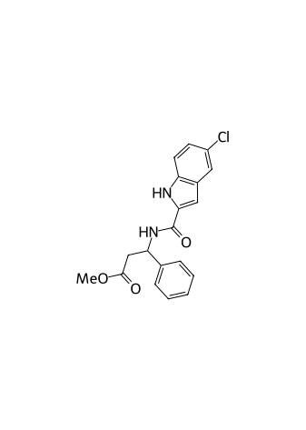 COC(=O)CC(NC(=O)c1cc2cc(Cl)ccc2[nH]1)c1ccccc1